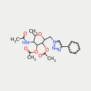 CC(=O)NC1C(C)OC(Cn2cc(-c3ccccc3)nn2)C(OC(C)=O)C1OC(C)=O